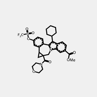 COC(=O)c1ccc2c(C3CCCCC3)c3n(c2c1)CC1(C(=O)N2CCOCC2)CC1c1cc(OS(=O)(=O)C(F)(F)F)ccc1-3